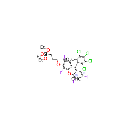 CCO[Si](CCCOc1c(I)cc2c(c1I)O/C(=C\I)C(/C=C(/I)C=O)=C2c1c(Cl)c(Cl)c(Cl)c(Cl)c1C(=O)O)(OCC)OCC